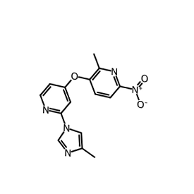 Cc1cn(-c2cc(Oc3ccc([N+](=O)[O-])nc3C)ccn2)cn1